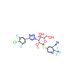 COC1C(n2cc(-c3cc(F)c(Cl)c(F)c3)nn2)[C@@H](O)C(CO)O[C@@H]1Sc1cnc(C(F)(F)F)c(C#N)c1